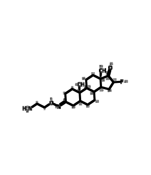 C[C@]12CCC(=NOCCN)CC1CCC1C2CC[C@]2(C)C(=O)C(F)CC12